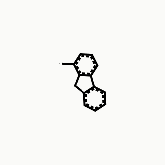 [CH2]c1cccc2c1Cc1ccccc1-2